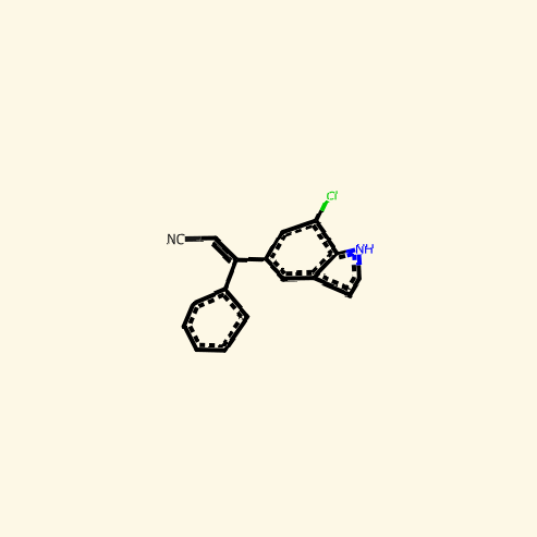 N#C/C=C(\c1ccccc1)c1cc(Cl)c2[nH]ccc2c1